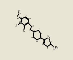 CCCC1CC=C(C2CCC(CCc3ccc(OCC)c(F)c3F)CC2)OC1